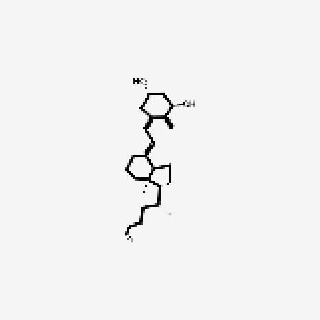 C=C1C(=CC=C2CCC[C@@]3(C)C2CC[C@@H]3[C@H](C)CCCC(C)C)C[C@H](O)C[C@H]1O